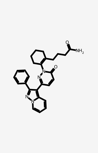 NC(=O)CCCC1=C(n2nc(-c3c(-c4ccccc4)nn4ccccc34)ccc2=O)CCCC1